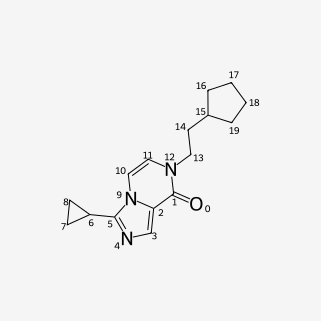 O=c1c2cnc(C3CC3)n2ccn1CCC1CCCC1